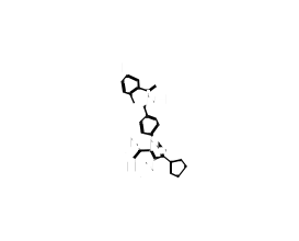 C=C(NCc1ccc(-n2nc(C3CCCC3)c(N)c2C(=C)N)cc1)c1cc(F)ccc1C